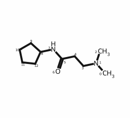 CN(C)CCC(=O)NC1C[CH]CC1